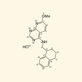 COc1ccc2c(NCC3CCCc4ccccc43)ncnc2n1.Cl